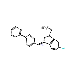 O=C(O)CC1C/C(=C\c2ccc(-c3ccccc3)cc2)c2ccc(F)cc21